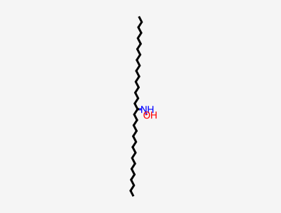 CCCCCCCCCCCCCCCCCC(CCCCCCCCCCCCCCCC)NO